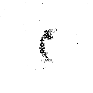 CN(C)C/C=C/C(=O)Nc1cccc(S(=O)(=O)c2ccc(N3CC(CN4CCC([C@@](C#N)(c5cccc(F)c5)[C@H]5CCC[C@@H]5NC(=O)O)CC4)C3)cc2)c1